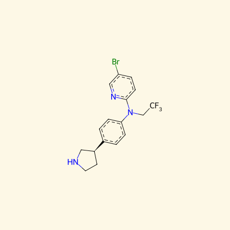 FC(F)(F)CN(c1ccc([C@H]2CCNC2)cc1)c1ccc(Br)cn1